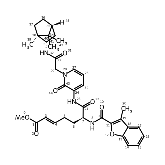 COC(=O)/C=C/CC[C@H](NC(=O)c1oc2ccccc2c1C)C(=O)Nc1cccn(CC(=O)N[C@H]2C[C@H]3CC[C@@]2(C)C3(C)C)c1=O